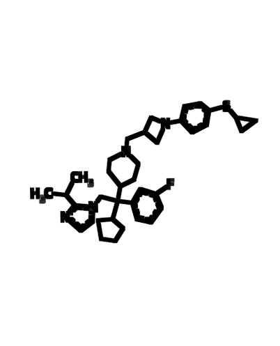 CC(C)c1nccn1CC(c1cccc(F)c1)(C1CCCC1)C1CCN(CC2CN(c3ccc(SC4CC4)cc3)C2)CC1